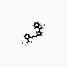 NC(=O)c1ccccc1CC[CH]c1nc(-c2c[nH]c3ccccc23)n[nH]1